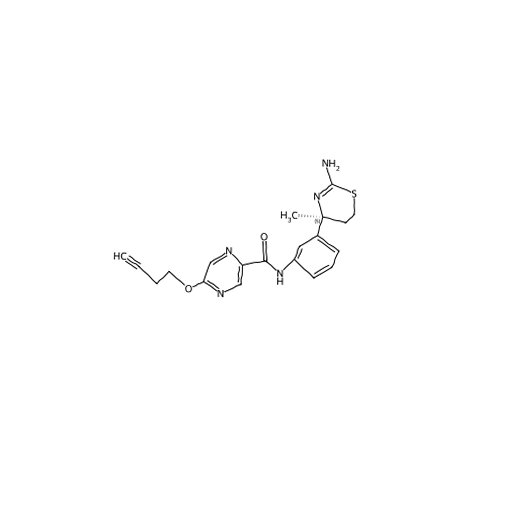 C#CCCOc1cnc(C(=O)Nc2cccc([C@]3(C)CCSC(N)=N3)c2)cn1